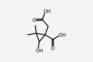 CC1(C)C(O)C1(CC(=O)O)C(=O)O